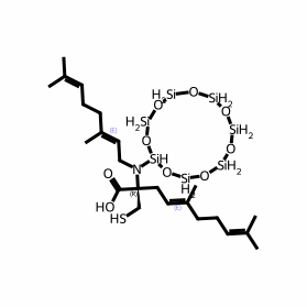 CC(C)=CCC/C(C)=C/CN([SiH]1O[SiH2]O[SiH2]O[SiH2]O[SiH2]O[SiH2]O[SiH2]O1)[C@](CS)(C/C=C(\C)CCC=C(C)C)C(=O)O